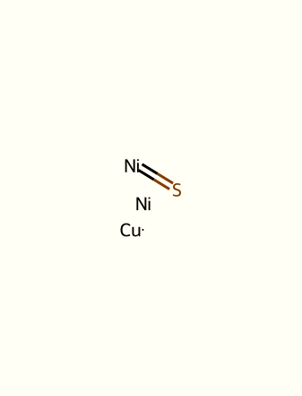 [Cu].[Ni].[S]=[Ni]